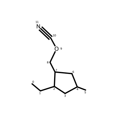 CCC1CC(C)CC1COC#N